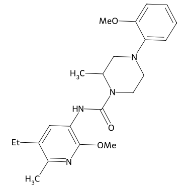 CCc1cc(NC(=O)N2CCN(c3ccccc3OC)CC2C)c(OC)nc1C